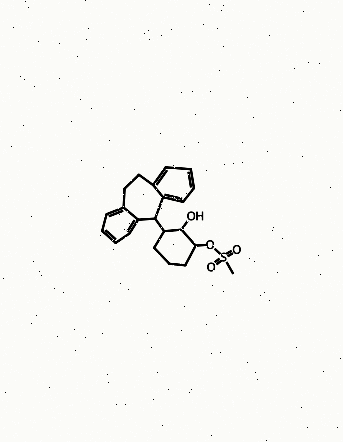 CS(=O)(=O)OC1CCCC(C2c3ccccc3CCc3ccccc32)C1O